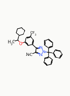 CC(Oc1cc(-c2nn(C(c3ccccc3)(c3ccccc3)c3ccccc3)nc2C#N)cc(C(F)(F)F)c1)C1CCCCC1